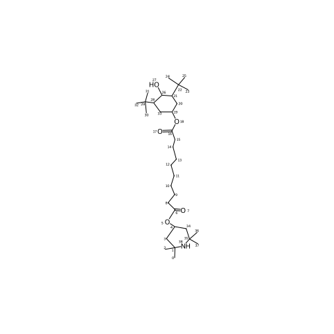 CC1(C)CC(OC(=O)CCCCCCCCC(=O)OC2CC(C(C)(C)C)C(O)C(C(C)(C)C)C2)CC(C)(C)N1